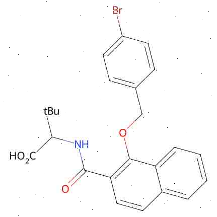 CC(C)(C)C(NC(=O)c1ccc2ccccc2c1OCc1ccc(Br)cc1)C(=O)O